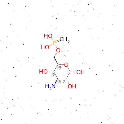 C=P(O)(O)OC[C@H]1OC(O)[C@H](O)[C@@H](N)[C@@H]1O